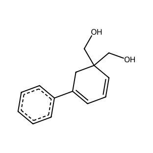 OCC1(CO)C=CC=C(c2ccccc2)C1